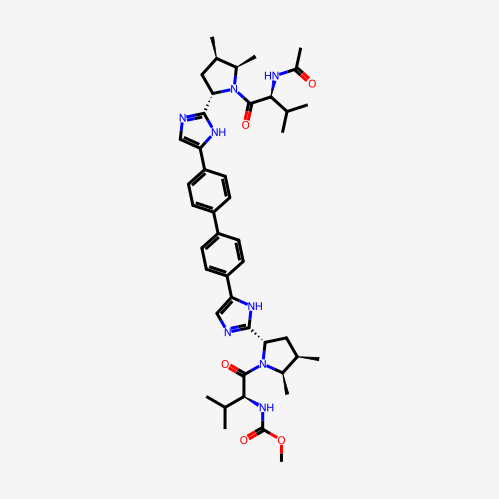 COC(=O)N[C@H](C(=O)N1[C@H](C)[C@H](C)C[C@H]1c1ncc(-c2ccc(-c3ccc(-c4cnc([C@@H]5C[C@@H](C)[C@@H](C)N5C(=O)[C@@H](NC(C)=O)C(C)C)[nH]4)cc3)cc2)[nH]1)C(C)C